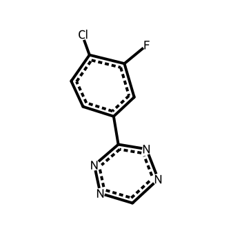 Fc1cc(-c2nncnn2)ccc1Cl